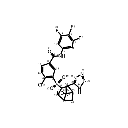 O=C(Nc1cc(F)c(F)c(F)c1)c1ccc(Cl)c(S(=O)(=O)C2CC3CC(C2)C3(O)Cc2nnn[nH]2)c1